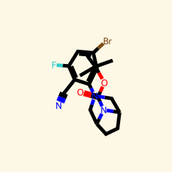 CC(C)(C)OC(=O)N1C2CCC1CN(c1cc(Br)cc(F)c1C#N)C2